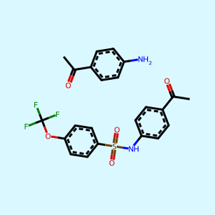 CC(=O)c1ccc(N)cc1.CC(=O)c1ccc(NS(=O)(=O)c2ccc(OC(F)(F)F)cc2)cc1